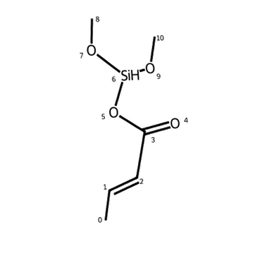 CC=CC(=O)O[SiH](OC)OC